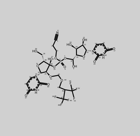 N#CCCOP(=O)(OC(O)[C@H]1O[C@@H](n2ccc(=O)[nH]c2=O)[C@H](O)[C@@H]1O)O[C@@]1(O)[C@@H](CO)O[C@@H](n2ccc(=O)[nH]c2=O)[C@@H]1OCOCC(C(F)(F)F)C(F)(F)F